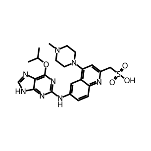 CC(C)Oc1nc(Nc2ccc3nc(CS(=O)(=O)O)cc(N4CCN(C)CC4)c3c2)nc2[nH]cnc12